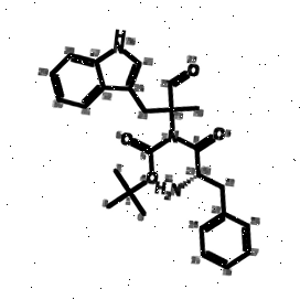 CC(C)(C)OC(=O)N(C(=O)[C@@H](N)Cc1ccccc1)C(C)([C]=O)Cc1c[nH]c2ccccc12